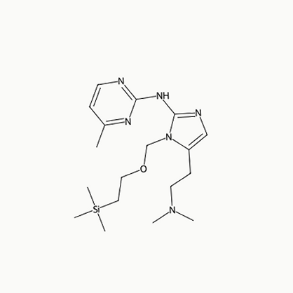 Cc1ccnc(Nc2ncc(CCN(C)C)n2COCC[Si](C)(C)C)n1